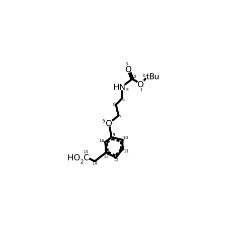 CC(C)(C)OC(=O)NCCCOc1cccc(CC(=O)O)c1